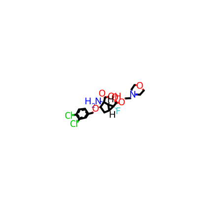 N[C@]1(C(=O)O)[C@H]2[C@@H](C[C@H]1OCc1ccc(Cl)c(Cl)c1)[C@]2(F)C(=O)OCCN1CCOCC1